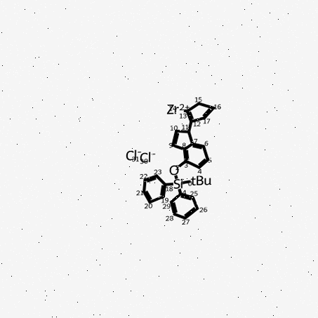 CC(C)(C)[Si](Oc1cccc2c1C=CC2C1=[C]([Zr+2])CC=C1)(c1ccccc1)c1ccccc1.[Cl-].[Cl-]